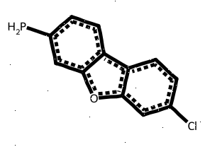 Pc1ccc2c(c1)oc1cc(Cl)ccc12